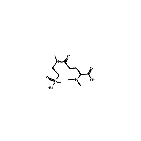 CN(CCS(=O)(=O)O)C(=O)CCC(C(=O)O)N(C)C